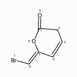 O=C1CC=C/C(=C/Br)O1